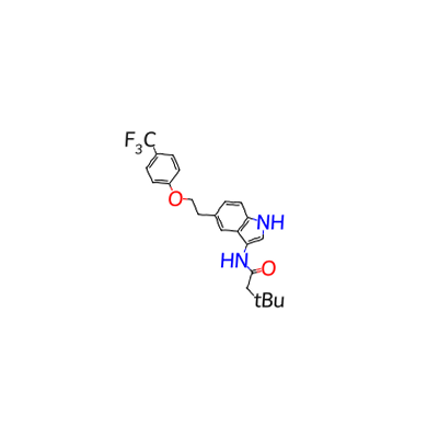 CC(C)(C)CC(=O)Nc1c[nH]c2ccc(CCOc3ccc(C(F)(F)F)cc3)cc12